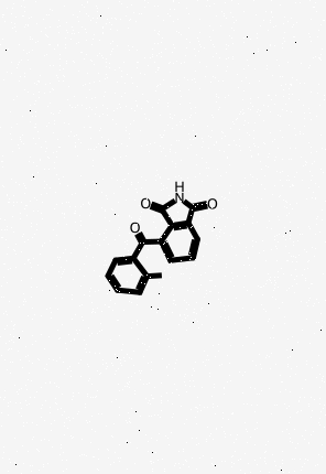 Cc1ccccc1C(=O)c1cccc2c1C(=O)NC2=O